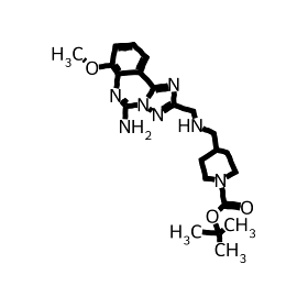 COc1cccc2c1nc(N)n1nc(CNCC3CCN(C(=O)OC(C)(C)C)CC3)nc21